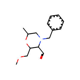 COCC1OC(C)CN(Cc2ccccc2)C1C=O